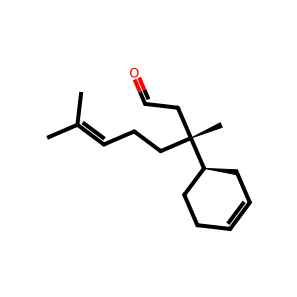 CC(C)=CCC[C@](C)(CC=O)[C@H]1CC=CCC1